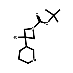 CC(C)(C)OC(=O)N1CC(O)(C2CCCNC2)C1